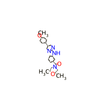 COc1ccc(-c2cnc(Nc3cccc(C(=O)N4CC(C)OC(C)C4)c3)nc2)cc1